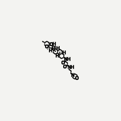 C[C@H]1CC[C@@]2(OC1)O[C@H]1C[C@H]3[C@@H]4CC[C@@H]5C[C@H](NC(=O)CC(=O)NCCCN6CCOCC6)CC[C@]5(C)[C@H]4CC[C@]3(C)[C@H]1[C@@H]2C